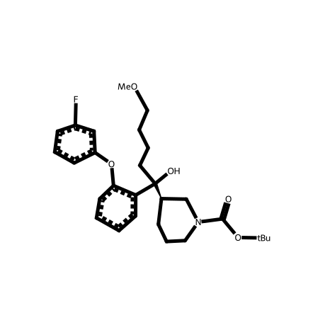 COCCCCC(O)(c1ccccc1Oc1cccc(F)c1)[C@@H]1CCCN(C(=O)OC(C)(C)C)C1